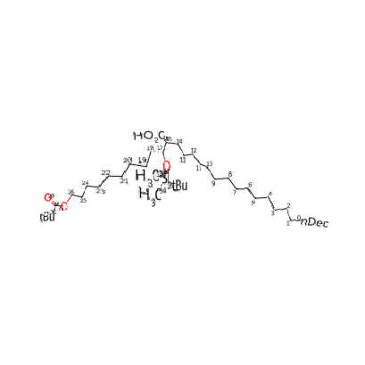 CCCCCCCCCCCCCCCCCCCCCCCCC(C(=O)O)[C@@H](CCCCCCCCCOC(=O)C(C)(C)C)O[Si](C)(C)C(C)(C)C